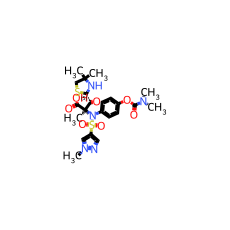 CN(C)C(=O)Oc1ccc(N([C@@](C)(C(=O)O)C(=O)[C@H]2NC(C)(C)CS2)S(=O)(=O)c2cnn(C)c2)cc1